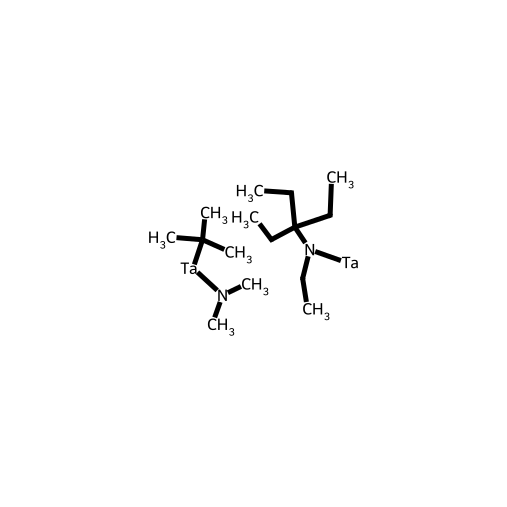 CC[N]([Ta])C(CC)(CC)CC.C[N](C)[Ta][C](C)(C)C